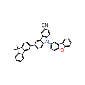 CC1(C)c2ccccc2-c2cc(-c3ccc4c(c3)c3cc(C#N)ccc3n4-c3ccc4oc5ccccc5c4c3)ccc21